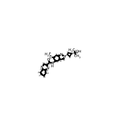 COc1cc2nn([C@H]3C[C@H](C(C)(C)O)C3)cc2cc1NC(=O)c1cnc2ccccc2n1